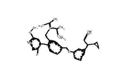 COc1cc(-c2ccc(COc3cccc(C(CO)C4CC4)c3)cc2CN(C(C)C)C(C)C)c(F)cn1